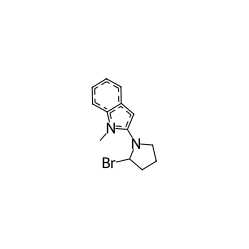 Cn1c(N2CCCC2Br)cc2ccccc21